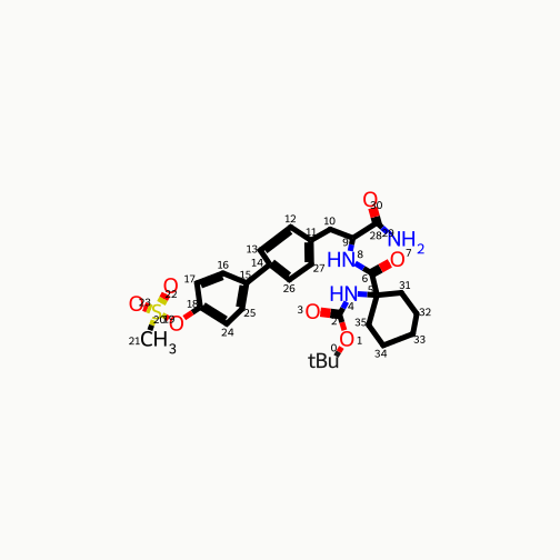 CC(C)(C)OC(=O)NC1(C(=O)NC(Cc2ccc(-c3ccc(OS(C)(=O)=O)cc3)cc2)C(N)=O)CCCCC1